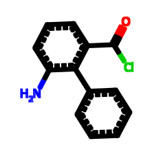 Nc1cccc(C(=O)Cl)c1-c1ccccc1